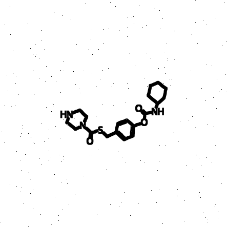 O=C(NC1CCCCC1)Oc1ccc(CSC(=O)N2CCNCC2)cc1